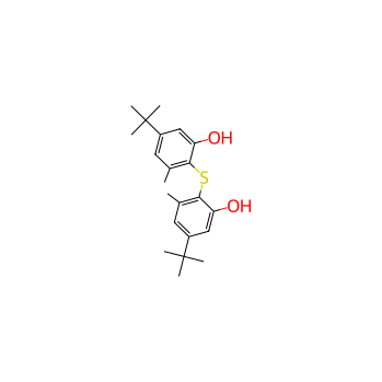 Cc1cc(C(C)(C)C)cc(O)c1Sc1c(C)cc(C(C)(C)C)cc1O